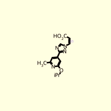 Cc1cc(-c2ncn(/C=C\C(=O)O)n2)cc(OC(C)C)n1